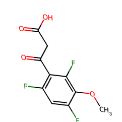 COc1c(F)cc(F)c(C(=O)CC(=O)O)c1F